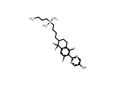 CCCC[Si](C)(C)CCCCC1CCc2c(cc(F)c(-c3ncc(O)cn3)c2F)C1(F)F